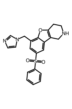 O=S(=O)(c1ccccc1)c1cc(Cn2ccnc2)c2oc3c(c2c1)CNCC3